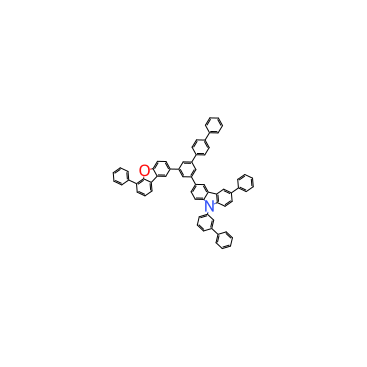 c1ccc(-c2ccc(-c3cc(-c4ccc5oc6c(-c7ccccc7)cccc6c5c4)cc(-c4ccc5c(c4)c4cc(-c6ccccc6)ccc4n5-c4cccc(-c5ccccc5)c4)c3)cc2)cc1